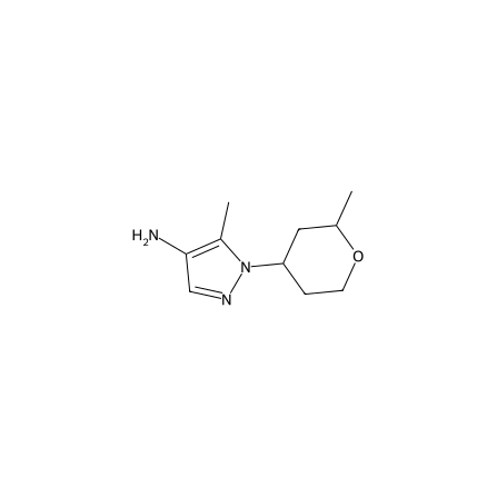 Cc1c(N)cnn1C1CCOC(C)C1